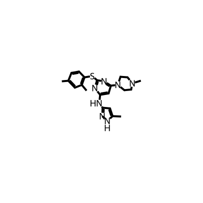 Cc1ccc(Sc2nc(Nc3cc(C)[nH]n3)cc(N3CCN(C)CC3)n2)c(C)c1